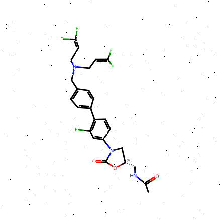 CC(=O)NC[C@H]1CN(c2ccc(-c3ccc(CN(CC=C(F)F)CC=C(F)F)cc3)c(F)c2)C(=O)O1